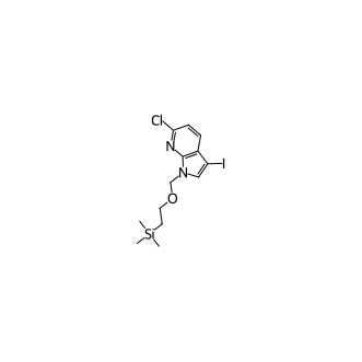 C[Si](C)(C)CCOCn1cc(I)c2ccc(Cl)nc21